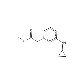 COC(=O)Cc1cccc(NC2CC2)c1